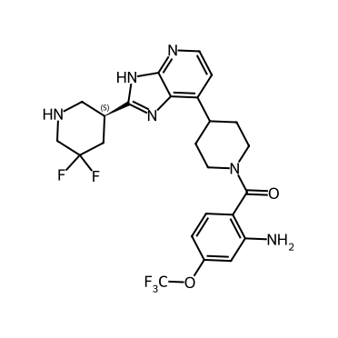 Nc1cc(OC(F)(F)F)ccc1C(=O)N1CCC(c2ccnc3[nH]c([C@@H]4CNCC(F)(F)C4)nc23)CC1